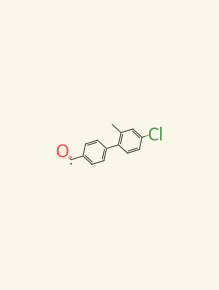 Cc1cc(Cl)ccc1-c1ccc([C]=O)cc1